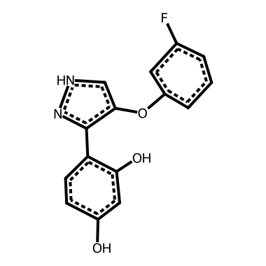 Oc1ccc(-c2n[nH]cc2Oc2cccc(F)c2)c(O)c1